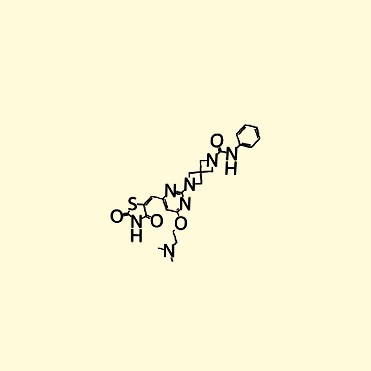 CN(C)CCOc1cc(/C=C2/SC(=O)NC2=O)nc(N2CC3(CN(C(=O)Nc4ccccc4)C3)C2)n1